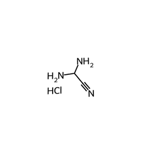 Cl.N#CC(N)N